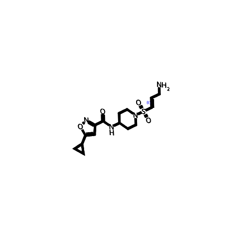 NC/C=C/S(=O)(=O)N1CCC(NC(=O)c2cc(C3CC3)on2)CC1